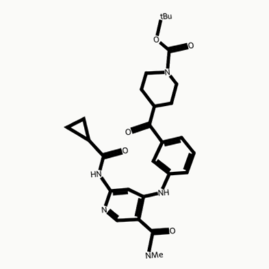 CNC(=O)c1cnc(NC(=O)C2CC2)cc1Nc1cccc(C(=O)C2CCN(C(=O)OC(C)(C)C)CC2)c1